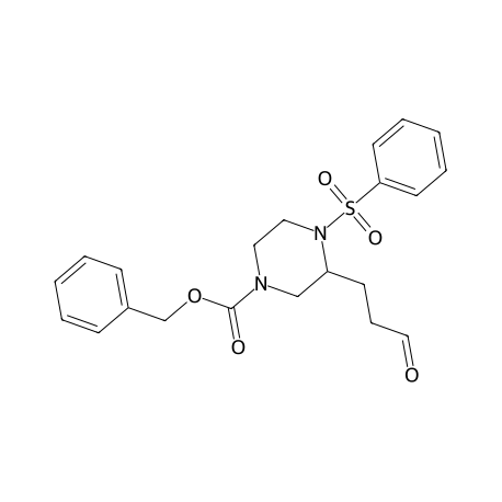 O=CCCC1CN(C(=O)OCc2ccccc2)CCN1S(=O)(=O)c1ccccc1